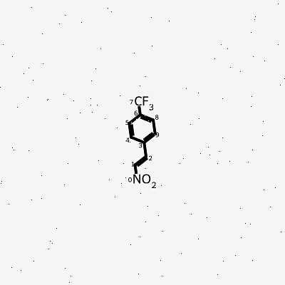 O=[N+]([O-])C=Cc1ccc(C(F)(F)F)cc1